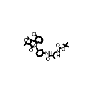 Cc1onc2c1c(=O)n(C1CCCC(NC(=O)C(C)CNC(=O)OC(C)(C)C)C1)c1cccc(Cl)c21